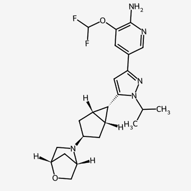 CC(C)n1nc(-c2cnc(N)c(OC(F)F)c2)cc1[C@@H]1[C@@H]2C[C@@H](N3C[C@@H]4C[C@H]3CO4)C[C@@H]21